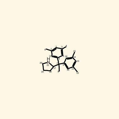 Cc1cc(C)cc(C(C)(c2cc(C)cc(C)c2)C2CCCN2)c1